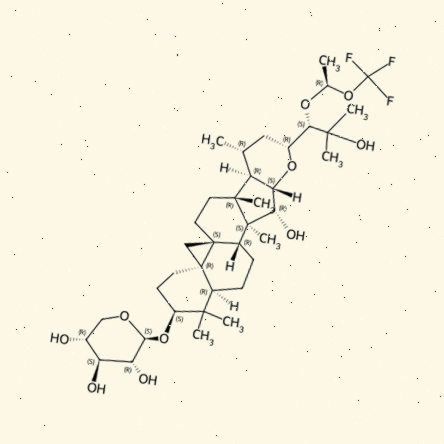 C[C@H](O[C@@H]([C@H]1C[C@@H](C)[C@H]2[C@H](O1)[C@H](O)[C@@]1(C)[C@@H]3CC[C@H]4C(C)(C)[C@@H](O[C@@H]5OC[C@@H](O)[C@H](O)[C@H]5O)CC[C@@]45C[C@@]35CC[C@]21C)C(C)(C)O)OC(F)(F)F